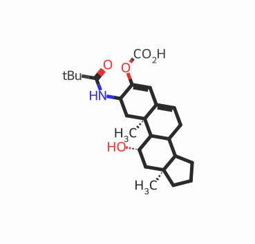 CC(C)(C)C(=O)NC1C[C@@]2(C)C(=CCC3C4CCC[C@@]4(C)C[C@H](O)C32)C=C1OC(=O)O